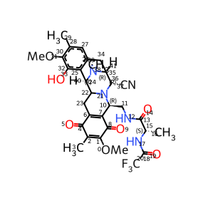 COC1=C(C)C(=O)C2=C(C1=O)[C@H](CNC(=O)[C@H](C)NC(=O)C(F)(F)F)N1C(C2)[C@H]2c3c(cc(C)c(OC)c3O)C[C@H]([C@@H]1C#N)N2C